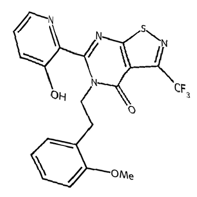 COc1ccccc1CCn1c(-c2ncccc2O)nc2snc(C(F)(F)F)c2c1=O